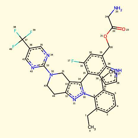 CCc1cccc(CC)c1-n1nc2c(c1-c1c(F)cc(COC(=O)CN)c3[nH]ccc13)CN(c1ncc(C(F)(F)F)cn1)CC2